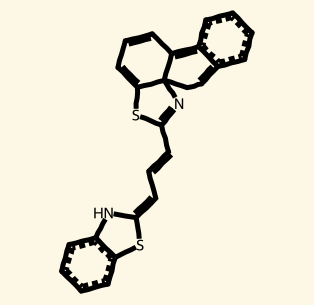 C(=CC1=NC23CC=c4ccccc4=C2C=CC=C3S1)C=C1Nc2ccccc2S1